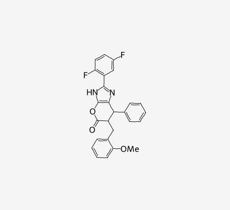 COc1ccccc1CC1C(=O)Oc2[nH]c(-c3cc(F)ccc3F)nc2C1c1ccccc1